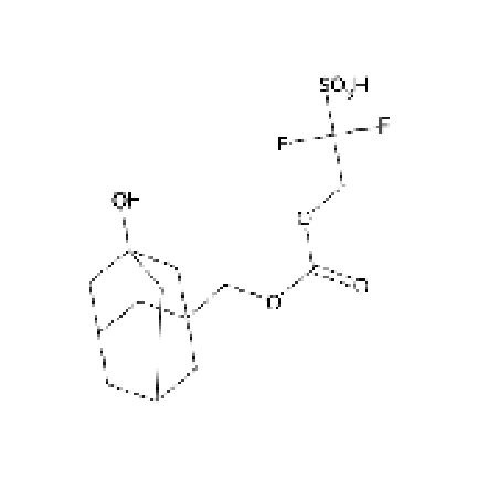 O=C(OCC12CC3CC(CC(O)(C3)C1)C2)OCC(F)(F)S(=O)(=O)O